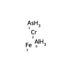 [AlH3].[AsH3].[Cr].[Fe]